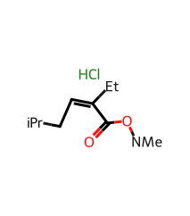 CCC(=CCC(C)C)C(=O)ONC.Cl